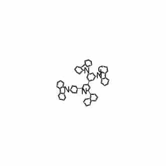 c1ccc2c(-c3cc(-c4cc(-n5c6ccccc6c6ccccc65)cc(-n5c6ccccc6c6ccccc65)c4)cc(-c4ccc(-n5c6ccccc6c6ccccc65)cc4)n3)cccc2c1